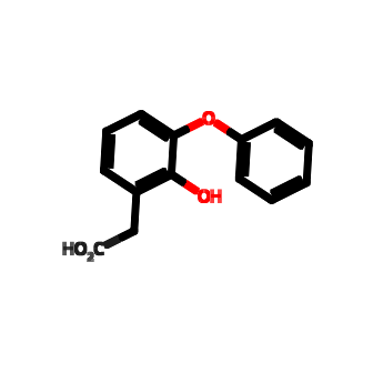 O=C(O)Cc1cccc(Oc2ccccc2)c1O